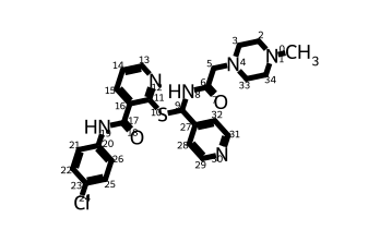 CN1CCN(CC(=O)NC(Sc2ncccc2C(=O)Nc2ccc(Cl)cc2)c2ccncc2)CC1